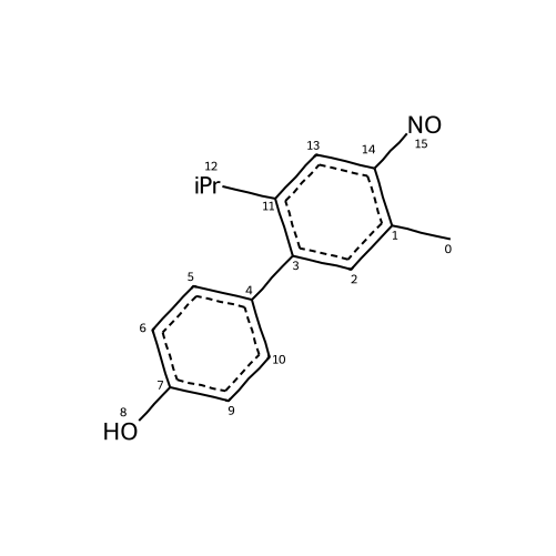 Cc1cc(-c2ccc(O)cc2)c(C(C)C)cc1N=O